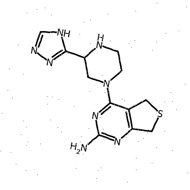 Nc1nc2c(c(N3CCNC(c4nnc[nH]4)C3)n1)CSC2